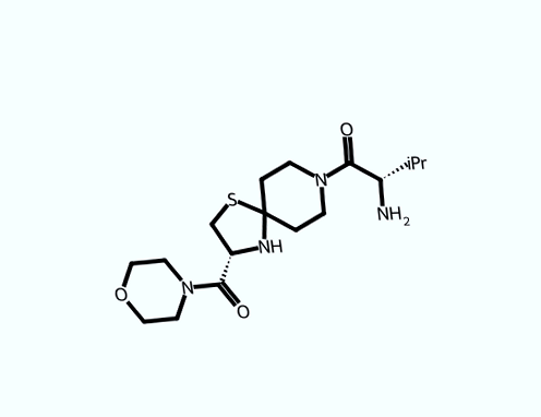 CC(C)[C@H](N)C(=O)N1CCC2(CC1)N[C@H](C(=O)N1CCOCC1)CS2